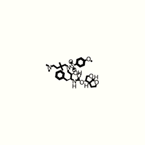 COc1ccc(S(=O)(=O)N(C[C@@H](O)[C@H](Cc2ccccc2)NC(=O)O[C@@H]2CO[C@@H]3OCC[C@@H]32)CC(C)(C)CCN(C)C)cc1